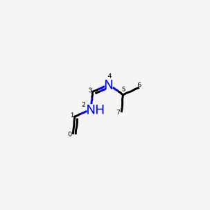 C=CN/C=N\C(C)C